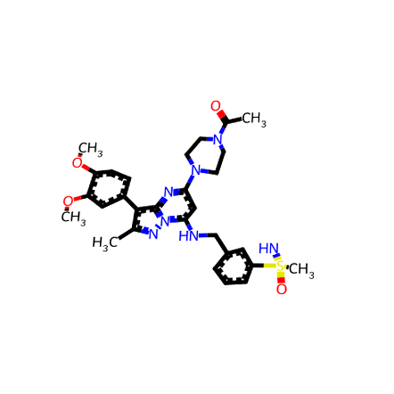 COc1ccc(-c2c(C)nn3c(NCc4cccc(S(C)(=N)=O)c4)cc(N4CCN(C(C)=O)CC4)nc23)cc1OC